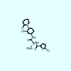 COC[C@@H](NC(=O)c1ccc(Cl)s1)C(=O)Nc1ccc(-n2ccccc2=O)c(Cl)c1